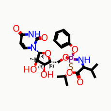 CC(C)OC(=O)C(NP(=S)(OC[C@H]1O[C@@H](n2ccc(=O)[nH]c2=O)[C@](C)(O)[C@@H]1O)Oc1ccccc1)C(C)C